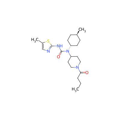 CCCC(=O)N1CCC(N(C(=O)Nc2ncc(C)s2)[C@H]2CC[C@H](C)CC2)CC1